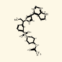 N#CCC(c1cccc(S(=O)(=O)N2CCC(OC(=O)C(F)(F)F)CC2)c1)n1cc(-c2ncnc3[nH]ccc23)cn1